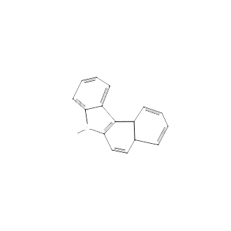 Cn1c2c(c3ccccc31)C1C=CC=CC1C=C2